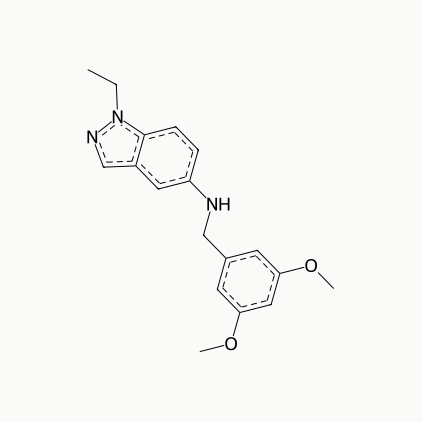 CCn1ncc2cc(NCc3cc(OC)cc(OC)c3)ccc21